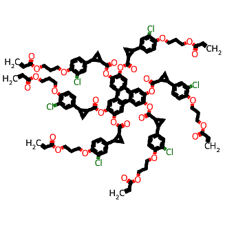 C=CC(=O)OCCCOc1ccc(C2CC2C(=O)Oc2cc3c4cc(OC(=O)C5CC5c5ccc(OCCCOC(=O)C=C)c(Cl)c5)c(OC(=O)C5CC5c5ccc(OCCCOC(=O)C=C)c(Cl)c5)cc4c4cc(OC(=O)C5CC5c5ccc(OCCCOC(=O)C=C)c(Cl)c5)c(OC(=O)C5CC5c5ccc(OCCCOC(=O)C=C)c(Cl)c5)cc4c3cc2OC(=O)C2CC2c2ccc(OCCCOC(=O)C=C)c(Cl)c2)cc1Cl